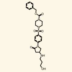 O=C(OCc1ccccc1)N1CCN(S(=O)(=O)c2ccc(N3CC(NCCCO)CC3=O)cc2)CC1